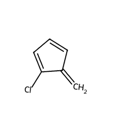 C=C1C=CC=C1Cl